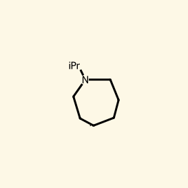 CC(C)N1CC[CH]CCC1